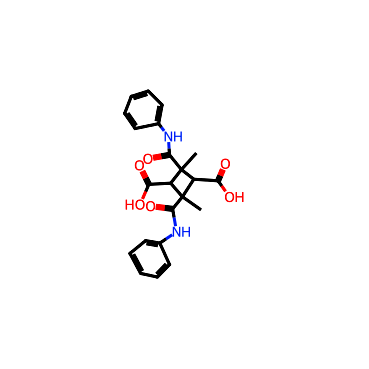 CC1(C(=O)Nc2ccccc2)C(C(=O)O)C(C)(C(=O)Nc2ccccc2)C1C(=O)O